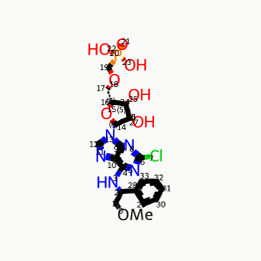 COCC(Nc1nc(Cl)nc2c1ncn2[C@@H]1O[C@H](COCP(=O)(O)O)[C@@H](O)[C@H]1O)c1ccccc1